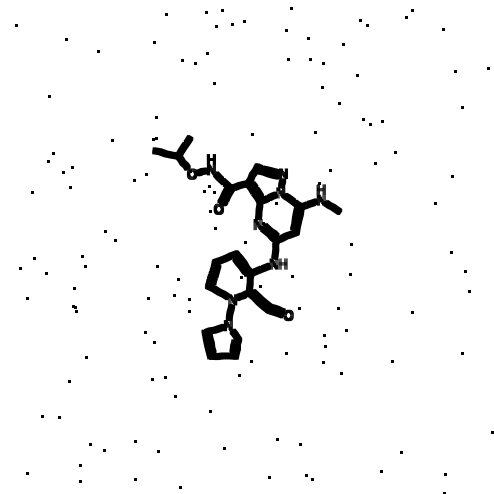 CNc1cc(NC2=CC=CN(n3cccc3)C2=C=O)nc2c(C(=O)NOC(C)C)cnn12